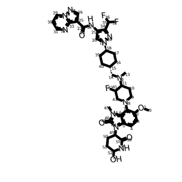 COc1ccc2c(c1N1CCC(N(C)C[C@H]3CC[C@H](n4cc(NC(=O)c5cnn6cccnc56)c(C(F)F)n4)CC3)C(F)C1)n(C)c(=O)n2C1CCC(O)NC1=O